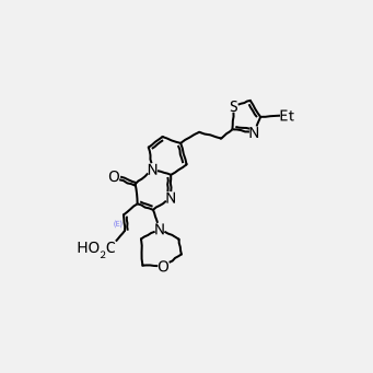 CCc1csc(CCc2ccn3c(=O)c(/C=C/C(=O)O)c(N4CCOCC4)nc3c2)n1